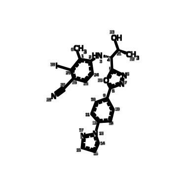 Cc1c(N[C@@H](c2nnc(-c3ccc(-n4cccn4)cc3)o2)[C@H](C)O)ccc(C#N)c1I